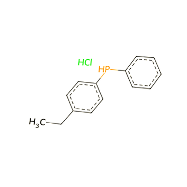 CCc1ccc(Pc2ccccc2)cc1.Cl